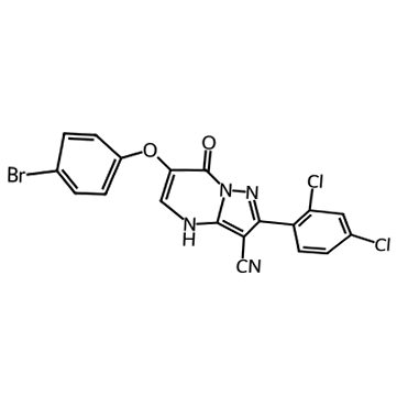 N#Cc1c(-c2ccc(Cl)cc2Cl)nn2c(=O)c(Oc3ccc(Br)cc3)c[nH]c12